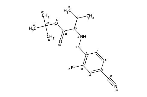 CC(C)C(NCc1ccc(C#N)cc1F)C(=O)OC(C)(C)C